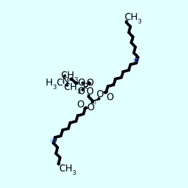 CCCCC/C=C\CCCCCCCC(=O)O[C@H](COC(=O)CCCCCCC/C=C\CCCCCCCC)COP(=O)([O-])OCC[N+](C)(C)C